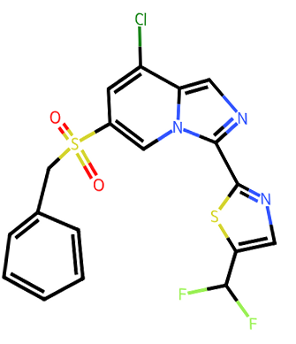 O=S(=O)(Cc1ccccc1)c1cc(Cl)c2cnc(-c3ncc(C(F)F)s3)n2c1